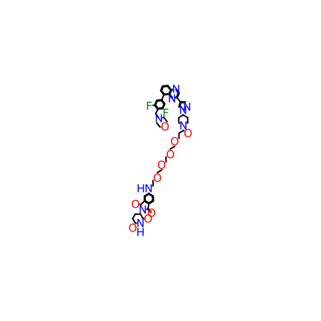 O=C1CCC(N2C(=O)c3ccc(NCCOCCOCCOCCOCCC(=O)N4CCC(n5cc(-c6cnc7cccc(-c8cc(F)c(CN9CCOCC9)c(F)c8)c7n6)cn5)CC4)cc3C2=O)C(=O)N1